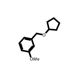 COc1cccc(COC2CCCC2)c1